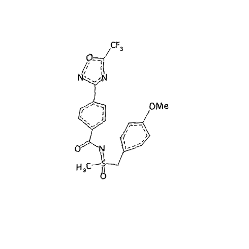 COc1ccc(CS(C)(=O)=NC(=O)c2ccc(-c3noc(C(F)(F)F)n3)cc2)cc1